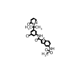 CC(C)(c1cc(Cl)cc(NC(=O)c2cc3cc(NS(C)(=O)=O)ccc3s2)c1)n1ncccc1=O